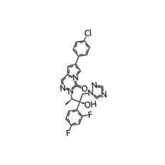 C[C@@H](n1ncc2cc(-c3ccc(Cl)cc3)cn2c1=O)[C@](O)(Cn1cncn1)c1ccc(F)cc1F